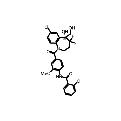 COc1cc(C(=O)N2CCC(F)(F)[C@](O)(CO)c3cc(Cl)ccc32)ccc1NC(=O)c1ccccc1Cl